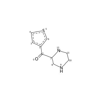 O=C(c1ccsc1)C1CNCC[N]1